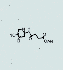 COC(=O)CCC(=O)Nc1cc(Cl)c(C#N)cn1